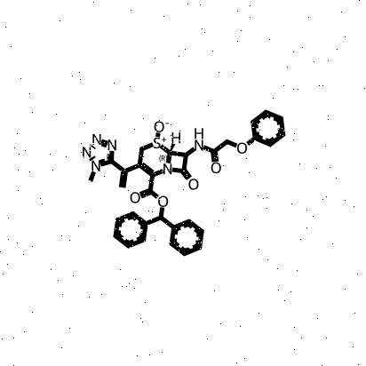 C=C(C1=C(C(=O)OC(c2ccccc2)c2ccccc2)N2C(=O)C(NC(=O)COc3ccccc3)[C@H]2[S+]([O-])C1)c1nnnn1C